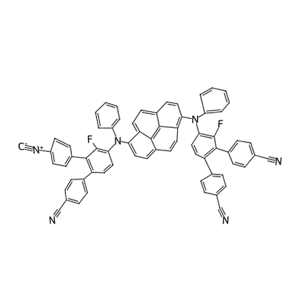 [C-]#[N+]c1ccc(-c2c(-c3ccc(C#N)cc3)ccc(N(c3ccccc3)c3ccc4ccc5c(N(c6ccccc6)c6ccc(-c7ccc(C#N)cc7)c(-c7ccc(C#N)cc7)c6F)ccc6ccc3c4c65)c2F)cc1